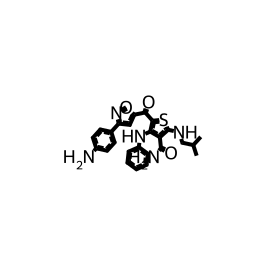 CC(C)CNc1sc(C(=O)c2cc(-c3ccc(N)cc3)no2)c(Nc2ccccc2)c1C(N)=O